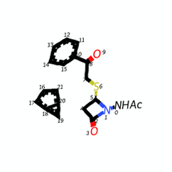 CC(=O)NN1C(=O)C[C@H]1SCC(=O)c1ccccc1.c1cc2cc-2c1